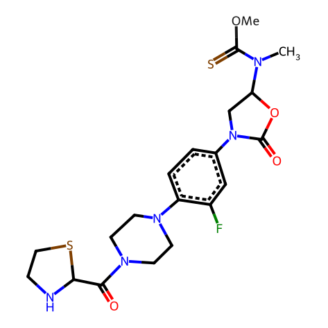 COC(=S)N(C)C1CN(c2ccc(N3CCN(C(=O)C4NCCS4)CC3)c(F)c2)C(=O)O1